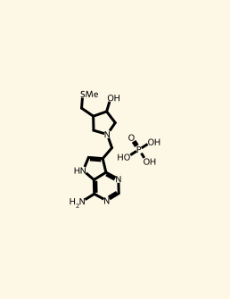 CSCC1CN(Cc2c[nH]c3c(N)ncnc23)CC1O.O=P(O)(O)O